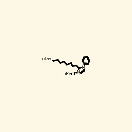 CCCCCCCCCCCCCCCCCCC1N(CCCCC)C=CN1c1ccccc1